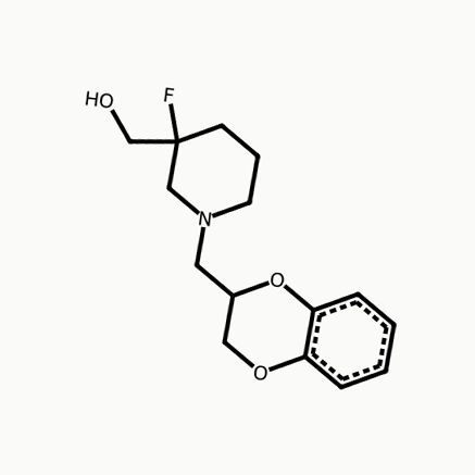 OCC1(F)CCCN(CC2COc3ccccc3O2)C1